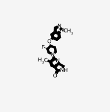 Cc1cc2c(nc1N1CC[C@@H](Oc3ccc4c(cnn4C)c3)[C@@H](F)C1)CNC2=O